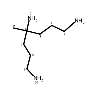 [CH2]C(N)(CCCN)CCCN